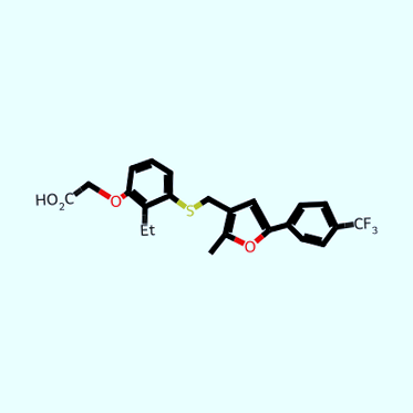 CCc1c(OCC(=O)O)cccc1SCc1cc(-c2ccc(C(F)(F)F)cc2)oc1C